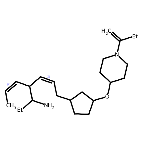 C=C(CC)N1CCC(OC2CCC(C/C=C\C(/C=C\C)C(N)CC)C2)CC1